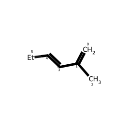 C=C(C)/[C]=C/CC